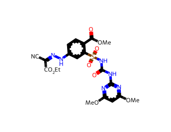 CCOC(=O)/C(C#N)=N\Nc1ccc(C(=O)OC)c(S(=O)(=O)NC(=O)Nc2nc(OC)cc(OC)n2)c1